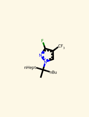 CCCCCCCC(C)(CCCC)n1cc(C(F)(F)F)c(F)n1